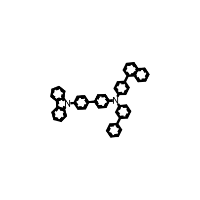 c1ccc(-c2cccc(N(c3ccc(-c4ccc(-n5c6ccccc6c6ccccc65)cc4)cc3)c3ccc(-c4cccc5ccccc45)cc3)c2)cc1